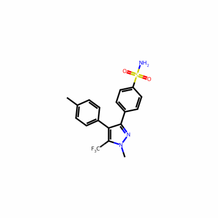 Cc1ccc(-c2c(-c3ccc(S(N)(=O)=O)cc3)nn(C)c2C(F)(F)F)cc1